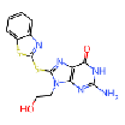 Nc1nc2c(nc(Sc3nc4ccccc4s3)n2CCO)c(=O)[nH]1